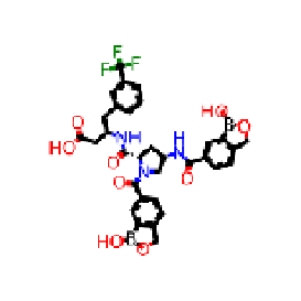 O=C(O)CC(Cc1cccc(C(F)(F)F)c1)NC(=O)[C@@H]1C[C@@H](NC(=O)c2ccc3c(c2)B(O)OC3)CN1C(=O)c1ccc2c(c1)B(O)OC2